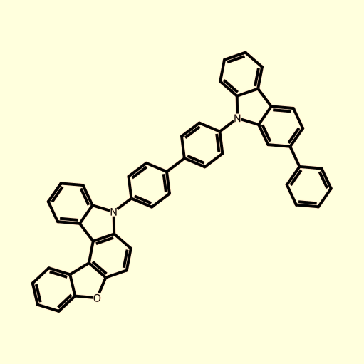 c1ccc(-c2ccc3c4ccccc4n(-c4ccc(-c5ccc(-n6c7ccccc7c7c8c(ccc76)oc6ccccc68)cc5)cc4)c3c2)cc1